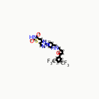 O=C1NC(=O)/C(=C/c2ccnc(N3CCC(CNCc4ccc(-c5cc(C(F)(F)F)cc(C(F)(F)F)c5)o4)CC3)n2)S1